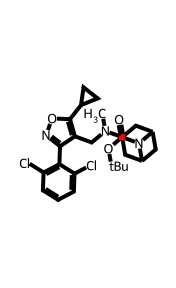 CN(Cc1c(-c2c(Cl)cccc2Cl)noc1C1CC1)C1CC2CC(C1)N2C(=O)OC(C)(C)C